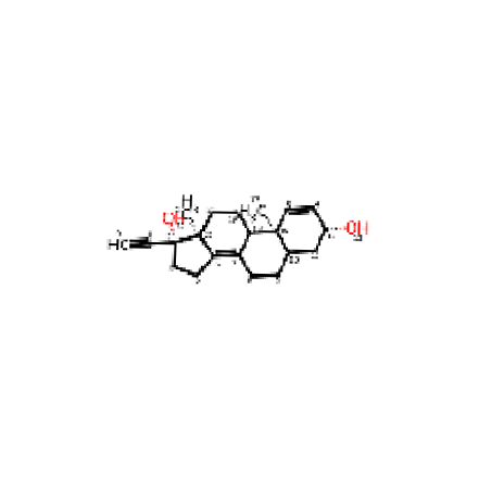 C#C[C@]1(O)CCC2=C3CCC4C[C@@H](O)C=C[C@]4(C)C3CC[C@@]21C